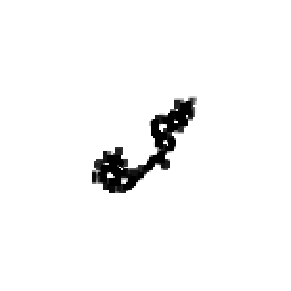 O=C(CCOC[C@H](CO)Nc1cn[nH]c(=O)c1C(F)(F)F)N1CCN2c3ncc(C(F)(F)F)cc3OCCC2C1